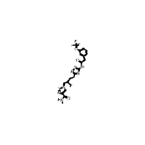 CNC(=O)c1cn(CC(F)CCc2nnc(NC(=O)Cc3cccc(OC(F)(F)F)c3)s2)nn1